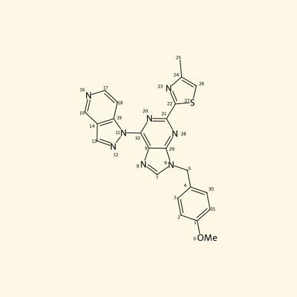 COc1ccc(Cn2cnc3c(-n4ncc5cnccc54)nc(-c4nc(C)cs4)nc32)cc1